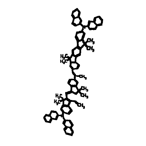 C=CC1=C(/C=C2\CC(C)(C)c3cc(/C(C)=C/c4ccc5c(c4)C(C)(C)c4cc6c(cc4-5)C(C)(C)c4cc(N(c5ccc7ccccc7c5)c5ccc7ccccc7c5)ccc4-6)ccc32)C(C)(C)c2cc(N(c3ccc4ccccc4c3)c3ccc4ccccc4c3)ccc21